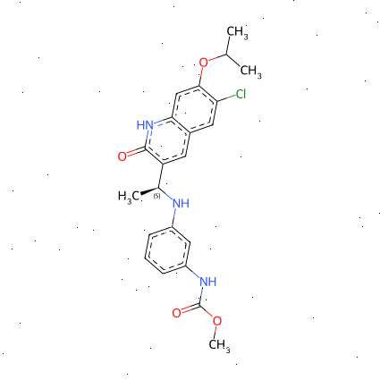 COC(=O)Nc1cccc(N[C@@H](C)c2cc3cc(Cl)c(OC(C)C)cc3[nH]c2=O)c1